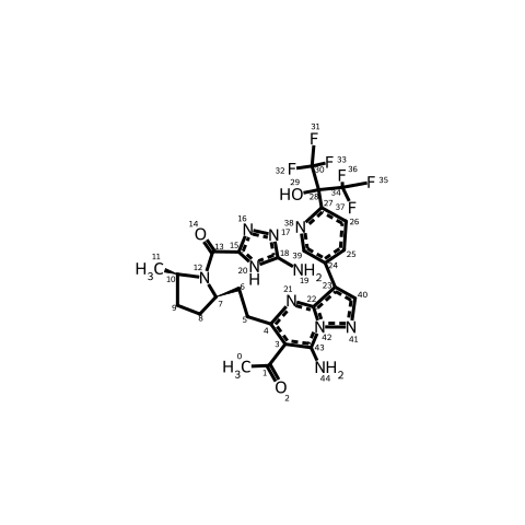 CC(=O)c1c(CC[C@H]2CC[C@@H](C)N2C(=O)c2nnc(N)[nH]2)nc2c(-c3ccc(C(O)(C(F)(F)F)C(F)(F)F)nc3)cnn2c1N